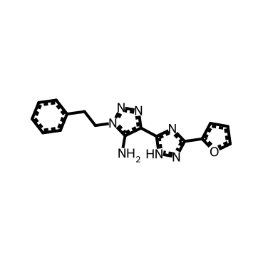 Nc1c(-c2nc(-c3ccco3)n[nH]2)nnn1CCc1ccccc1